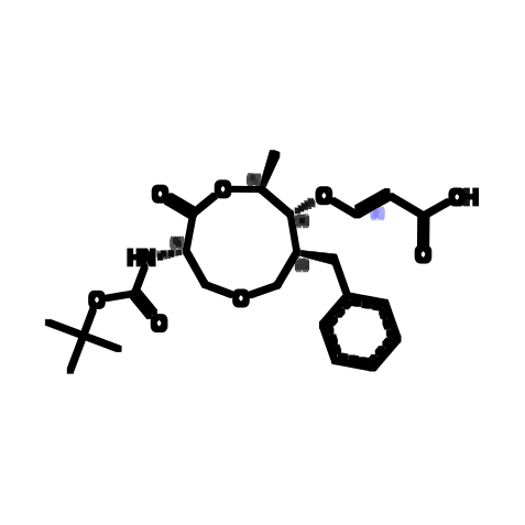 C[C@@H]1OC(=O)[C@@H](NC(=O)OC(C)(C)C)COC[C@H](Cc2ccccc2)[C@H]1O/C=C/C(=O)O